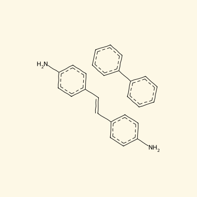 Nc1ccc(C=Cc2ccc(N)cc2)cc1.c1ccc(-c2ccccc2)cc1